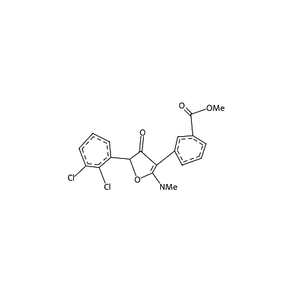 CNC1=C(c2cccc(C(=O)OC)c2)C(=O)C(c2cccc(Cl)c2Cl)O1